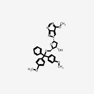 COc1ccc(C(OC[C@H]2O[C@H](n3cc4c(OC)ncnc4n3)C[C@@H]2O)(c2ccccc2)c2ccc(OC)cc2)cc1